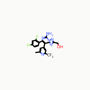 Cc1cc(-c2c(-c3ccc(F)cc3F)nc(N)n3nc(CO)nc23)cc(C(F)(F)F)n1